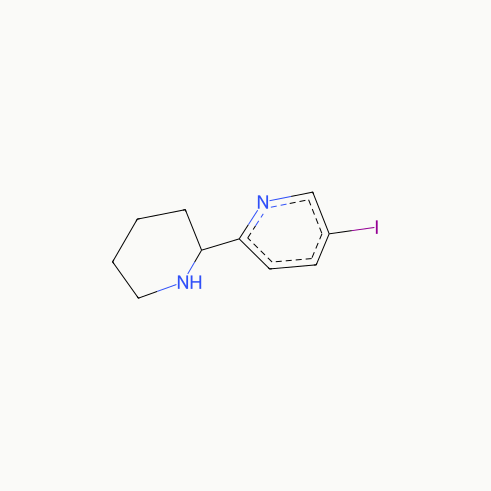 Ic1ccc(C2CCCCN2)nc1